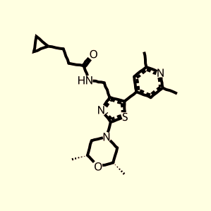 Cc1cc(-c2sc(N3C[C@@H](C)O[C@@H](C)C3)nc2CNC(=O)CCC2CC2)cc(C)n1